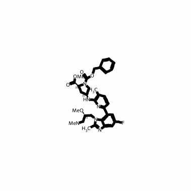 CNC[C@@H](Cn1c(C)nc2cc(F)cc(-c3ccc(C)c(N[C@H]4C[C@@H](C(=O)OC)N(C(=O)OCc5ccccc5)C4)n3)c21)OC